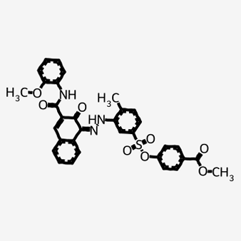 COC(=O)c1ccc(OS(=O)(=O)c2ccc(C)c(N/N=C3\C(=O)C(C(=O)Nc4ccccc4OC)=Cc4ccccc43)c2)cc1